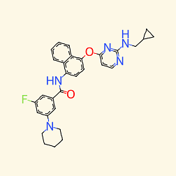 O=C(Nc1ccc(Oc2ccnc(NCC3CC3)n2)c2ccccc12)c1cc(F)cc(N2CCCCC2)c1